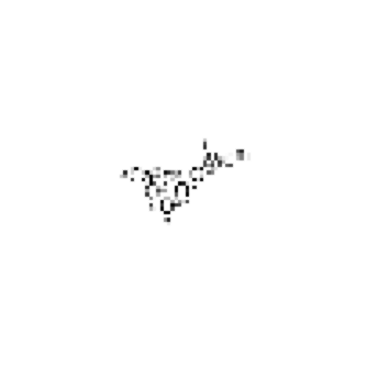 [Ca+2].[Mo+6].[O-2].[O-2].[O-2].[O-2]